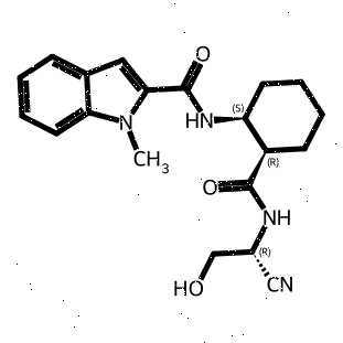 Cn1c(C(=O)N[C@H]2CCCC[C@H]2C(=O)N[C@H](C#N)CO)cc2ccccc21